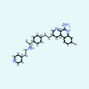 Cc1ccc2c(c1)nc(N)c1ncc(CCc3ccc(C(C)NCCc4ccncc4)cc3)cc12